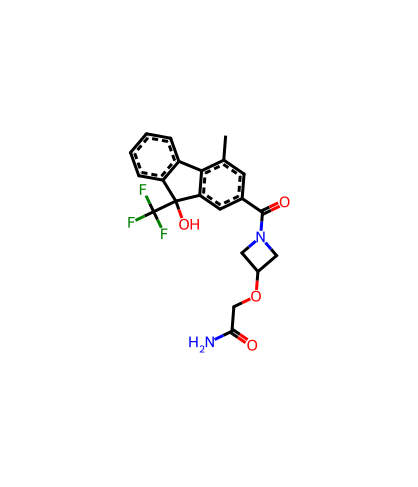 Cc1cc(C(=O)N2CC(OCC(N)=O)C2)cc2c1-c1ccccc1C2(O)C(F)(F)F